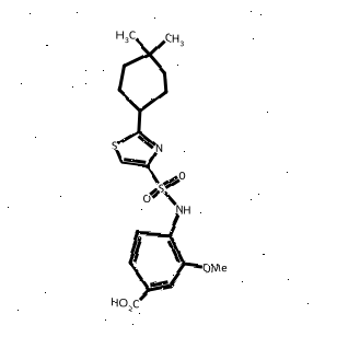 COc1cc(C(=O)O)ccc1NS(=O)(=O)c1csc(C2CCC(C)(C)CC2)n1